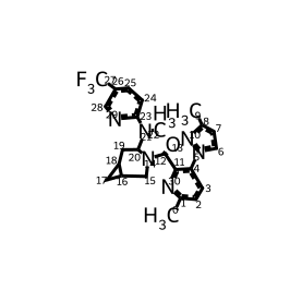 Cc1ccc(-n2ccc(C)n2)c(C(=O)N2CC3CC3CC2N(C)c2ccc(C(F)(F)F)cn2)n1